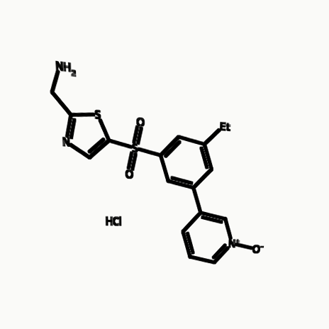 CCc1cc(-c2ccc[n+]([O-])c2)cc(S(=O)(=O)c2cnc(CN)s2)c1.Cl